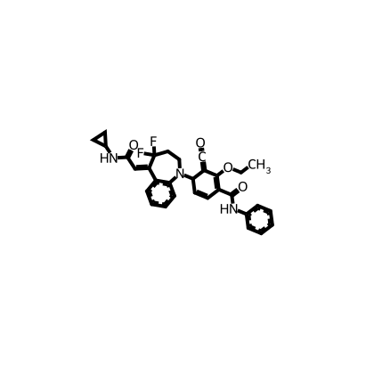 CCOC1=C(C(=O)Nc2ccccc2)C=CC(N2CCC(F)(F)C(=CC(=O)NC3CC3)c3ccccc32)C1=C=O